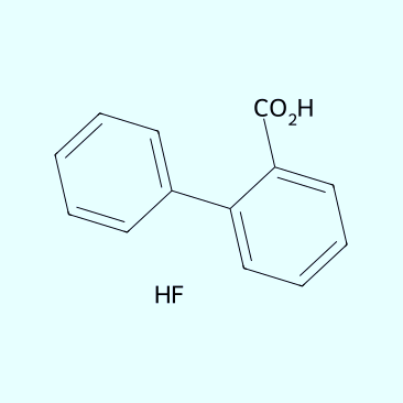 F.O=C(O)c1ccccc1-c1ccccc1